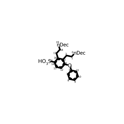 CCCCCCCCCCCCc1c(Oc2ccccc2)ccc(S(=O)(=O)O)c1CCCCCCCCCCCC